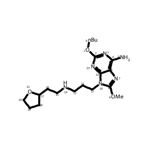 CCCCOc1nc(N)c2nc(OC)n(CCCNCCC3CCCO3)c2n1